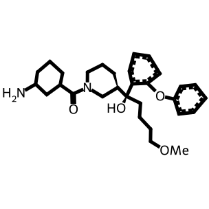 COCCCC[C@@](O)(c1ccccc1Oc1ccccc1)[C@@H]1CCCN(C(=O)C2CCCC(N)C2)C1